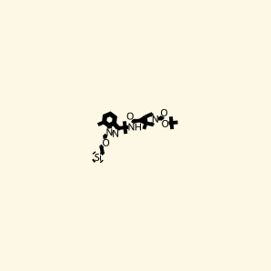 Cc1cccc2c(C(C)(C)NC(=O)C3C4CN(C(=O)OC(C)(C)C)CC43C)nn(COCC[Si](C)(C)C)c12